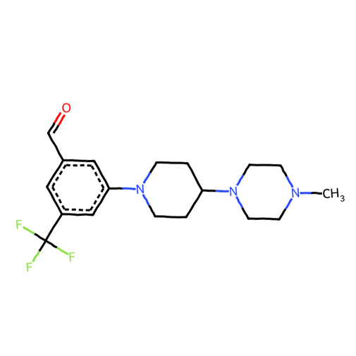 CN1CCN(C2CCN(c3cc(C=O)cc(C(F)(F)F)c3)CC2)CC1